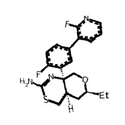 CC[C@H]1C[C@H]2CSC(N)=N[C@@]2(c2cc(-c3cccnc3F)ccc2F)CO1